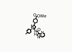 COC(=O)C1CCC(c2cc(NC(=O)c3cnn4cccnc34)n(-c3ccc(C)cc3)n2)CC1